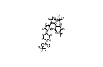 CC(C)(C)OC(=O)N1CCC(c2csc(-c3cnn(C(C)(C)C)c3-c3ccc(F)cc3)n2)CC1